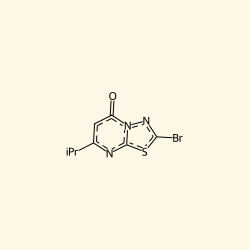 CC(C)c1cc(=O)n2nc(Br)sc2n1